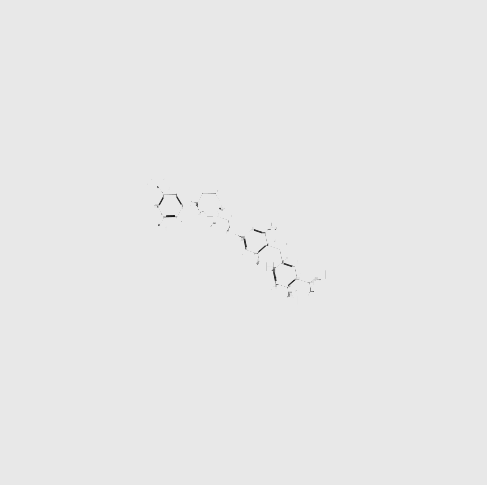 Cc1cc(OCP2(=O)OCC[C@@H](c3cc(Cl)cc(Cl)c3)O2)cc(C)c1Cc1ccc(O)c(C(C)C)c1